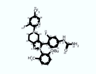 Cc1cccc(OCC(C)C)c1-n1nc2c(c1-c1ccc(NC(N)=O)cc1F)CN(c1ncc(C(F)(F)F)cc1F)CC2